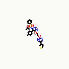 Cc1ccc(-c2c(OCCOc3ncc(-c4ccsc4)cn3)ncnc2N(CC(C)C)S(=O)(=O)c2ccccc2)cc1